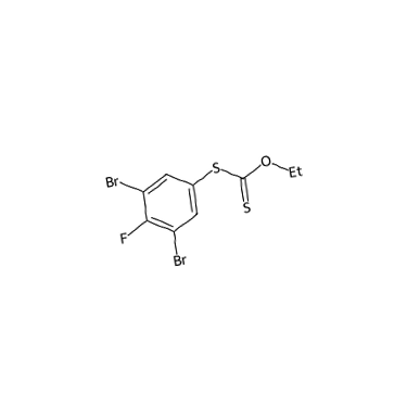 CCOC(=S)Sc1cc(Br)c(F)c(Br)c1